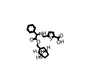 CN1[C@@H]2CC[C@H]1CC(COC(=O)C(NCc1ccc(C(=O)O)s1)c1ccccc1)C2